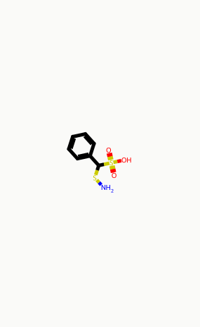 NSC(c1ccccc1)S(=O)(=O)O